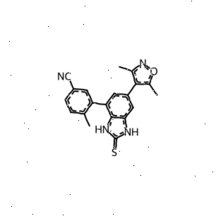 Cc1ccc(C#N)cc1-c1cc(-c2c(C)noc2C)cc2[nH]c(=S)[nH]c12